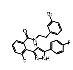 O=C(NCCc1cccc(Br)c1)c1cccc(F)c1-c1cc(-c2ccc(F)cc2)[nH]n1